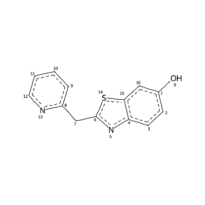 Oc1ccc2nc(Cc3ccccn3)sc2c1